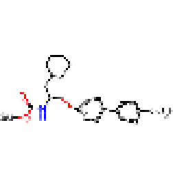 CC(C)(C)OC(=O)N[C@H](COc1ccc(-c2ccc(C(=O)O)cc2)cc1)CC1CCCCC1